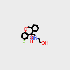 OCCNCC1(O)c2ccccc2COc2ccc(F)cc21